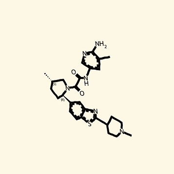 Cc1cc(NC(=O)C(=O)N2C[C@@H](C)CC[C@@H]2c2ccc3sc(C4CCN(C)CC4)nc3c2)cnc1N